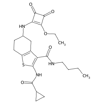 CCCCNC(=O)c1c(NC(=O)C2CC2)sc2c1CC(Nc1c(OCC)c(=O)c1=O)CC2